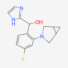 OC(c1ncc[nH]1)c1ccc(F)cc1N1CC2CC2C1